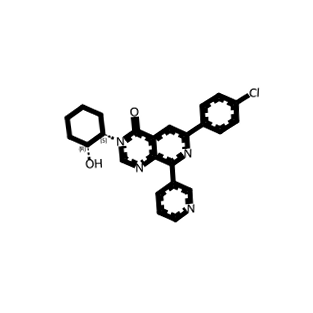 O=c1c2cc(-c3ccc(Cl)cc3)nc(-c3cccnc3)c2ncn1[C@H]1CCCC[C@H]1O